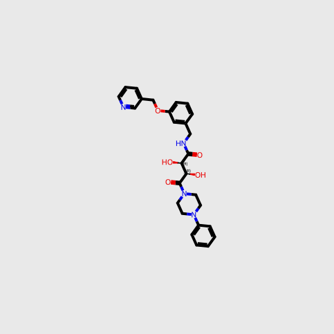 O=C(NCc1cccc(OCc2cccnc2)c1)[C@H](O)[C@@H](O)C(=O)N1CCN(c2ccccc2)CC1